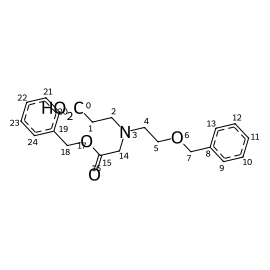 O=C(O)CCN(CCOCc1ccccc1)CC(=O)OCc1ccccc1